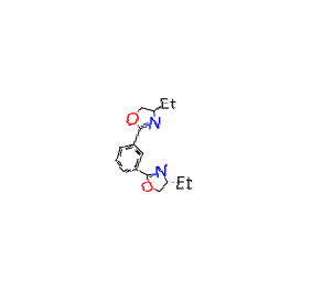 CC[C@@H]1COC(c2cccc(C3=N[C@H](CC)CO3)c2)=N1